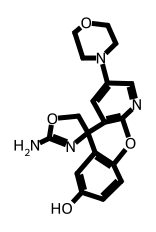 NC1=NC2(CO1)c1cc(O)ccc1Oc1ncc(N3CCOCC3)cc12